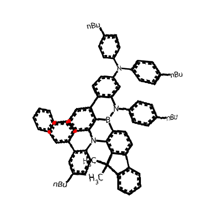 CCCCc1ccc(N2B3c4ccc5c(c4N(c4ccc(CCCC)cc4-c4ccccc4)c4cc(-c6ccccc6)cc(c43)-c3ccc(N(c4ccc(CCCC)cc4)c4ccc(CCCC)cc4)cc32)C(C)(C)c2ccccc2-5)cc1